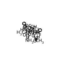 C[C@@H](O)[C@H](NC(=O)[C@H](CCCCN)N(C(=O)OCCS(C)(=O)=O)C(=O)[C@@](N)(Cc1c[nH]c2ccccc12)C(=O)OC(C)(C)C)C(=O)N[C@H]([C]=O)Cc1ccccc1